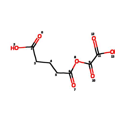 O=C(O)CCCC(=O)OC(=O)C(=O)O